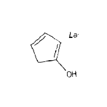 OC1=CC=CC1.[La]